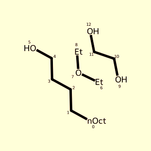 CCCCCCCCCCCCO.CCOCC.OCCO